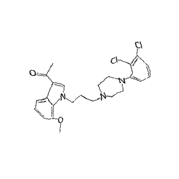 COc1cccc2c(C(C)=O)cn(CCCN3CCN(c4cccc(Cl)c4Cl)CC3)c12